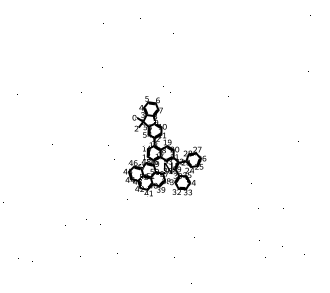 CC1(C)c2ccccc2-c2ccc(-c3cccc4c3ccc3c(-c5ccccc5)c(-c5ccccc5)n(-c5ccc6ccc7cccc8ccc5c6c78)c34)cc21